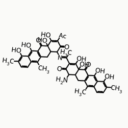 CC(=O)C1=C(O)C2(O)C(=O)c3c(c(C)c4ccc(C)c(O)c4c3O)CC2C(N=C(C)C2=C(O)C3(O)C(=O)c4c(c(C)c5ccc(C)c(O)c5c4O)CC3C(N)C2=O)C1=O